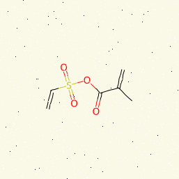 C=CS(=O)(=O)OC(=O)C(=C)C